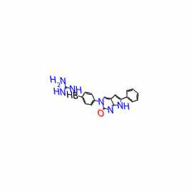 N=C(N)NBc1ccc(-n2cc3cc(-c4ccccc4)[nH]c3nc2=O)cc1